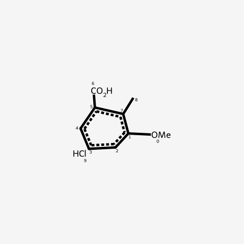 COc1cccc(C(=O)O)c1C.Cl